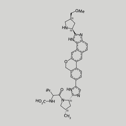 COC[C@@H]1CN[C@H](c2nc3ccc4cc5c(cc4c3[nH]2)OCc2cc(-c3cnc([C@@H]4C[C@H](C)CN4C(=O)C(NC(=O)O)C(C)C)[nH]3)ccc2-5)C1